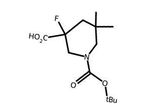 CC1(C)CN(C(=O)OC(C)(C)C)CC(F)(C(=O)O)C1